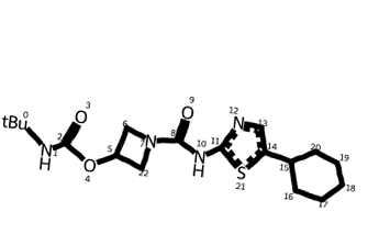 CC(C)(C)NC(=O)OC1CN(C(=O)Nc2ncc(C3CCCCC3)s2)C1